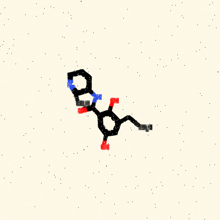 O=C(O)Cc1cc(O)cc(C(=O)Nc2cccnc2C(=O)O)c1O